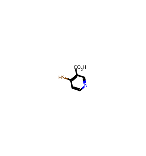 O=C(O)c1[c]nccc1S